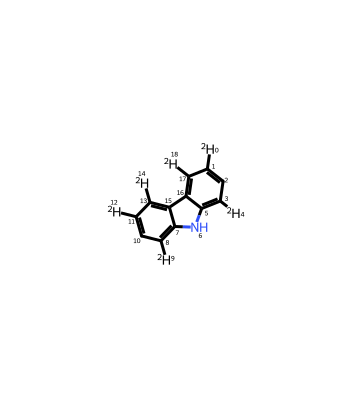 [2H]c1cc([2H])c2[nH]c3c([2H])cc([2H])c([2H])c3c2c1[2H]